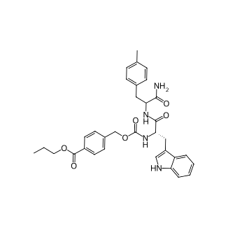 CCCOC(=O)c1ccc(COC(=O)N[C@@H](Cc2c[nH]c3ccccc23)C(=O)NC(Cc2ccc(C)cc2)C(N)=O)cc1